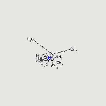 CCCCCCCCCCCCCCCCCCCC[CH2][Ni][CH2]CCCCCCCCCCCCCCCCCCCC.CCCCCc1cc(C2=C(CCCC)C(CCCC)=C(c3cc(C)c(C)c(C)c3)[N+]2=[N-])cc(CCCCC)c1CCCCC